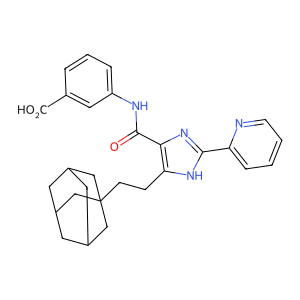 O=C(O)c1cccc(NC(=O)c2nc(-c3ccccn3)[nH]c2CCC23CC4CC(CC(C4)C2)C3)c1